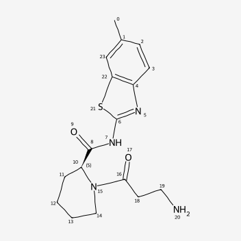 Cc1ccc2nc(NC(=O)[C@@H]3CCCCN3C(=O)CCN)sc2c1